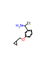 CCC(N)c1cccc(OCC2CC2)c1